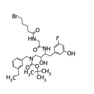 CCc1cccc(CN(CC(O)C(Cc2cc(O)cc(F)c2)NC(=O)CNC(=O)CCCCBr)C(=O)OC(C)(C)C)c1